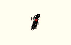 CN1C(=O)C=C[C@]2(C)[C@H]3CC[C@]4(C)[C@@H](NS(=O)(=O)c5ccccc5)CC[C@H]4[C@@H]3CC[C@@H]12